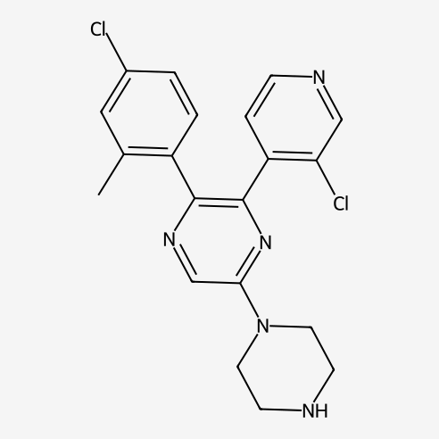 Cc1cc(Cl)ccc1-c1ncc(N2CCNCC2)nc1-c1ccncc1Cl